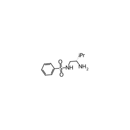 CC(C)[C@H](N)CNS(=O)(=O)c1ccccc1